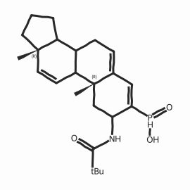 CC(C)(C)C(=O)NC1C[C@@]2(C)C(=CCC3C2C=C[C@]2(C)CCCC32)C=C1[PH](=O)O